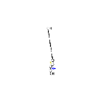 C#CC#CC#CC#CC#CC#CC#CC#CC#CC#CC#Cc1ccc2c(c1)sc1c2ccc2c1ccc1c3ccc(C)cc3[nH]c12